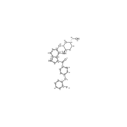 O=C(c1ccc(Oc2ccccc2F)cn1)c1c[nH]c2ncc(Cl)c(N[C@@H]3CC[C@@H](CO)OC3)c12